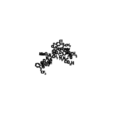 C#CC(C)Oc1cc(N2C(=O)C3=C(CCCC3)C2=O)c(F)cc1Cl.COc1c(Cl)ccc(Cl)c1C(=O)O.COc1nc(C)nc(NC(=O)NS(=O)(=O)c2ccccc2CCC(F)(F)F)n1.CP(=O)(O)CCC(N)C(=O)O